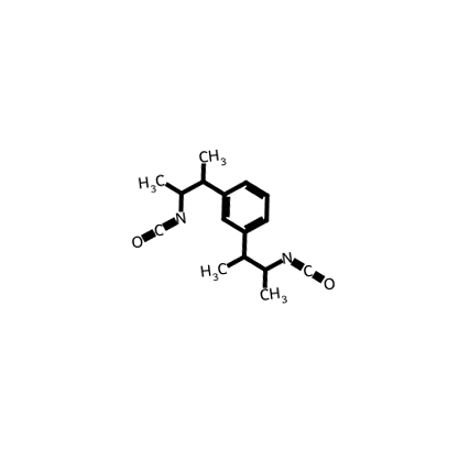 CC(N=C=O)C(C)c1cccc(C(C)C(C)N=C=O)c1